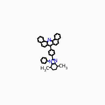 CC1CCC(C)c2c1nc(-c1ccc(-c3c4ccc5ccccc5c4nc4c3ccc3ccccc34)cc1)n2-c1ccccc1